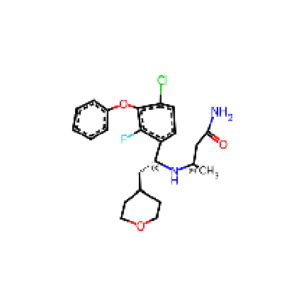 C[C@H](CC(N)=O)N[C@H](CC1CCOCC1)c1ccc(Cl)c(Oc2ccccc2)c1F